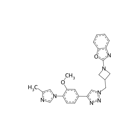 COc1cc(-c2cn(CC3CN(c4nc5ccccc5o4)C3)nn2)ccc1-n1cnc(C)c1